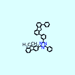 CC1(C)c2ccccc2-c2ccc(-c3nc(-c4ccccc4)nc(-c4cccc(-c5cccc6c5Cc5c(-c7ccccc7)cccc5-6)c4)n3)cc21